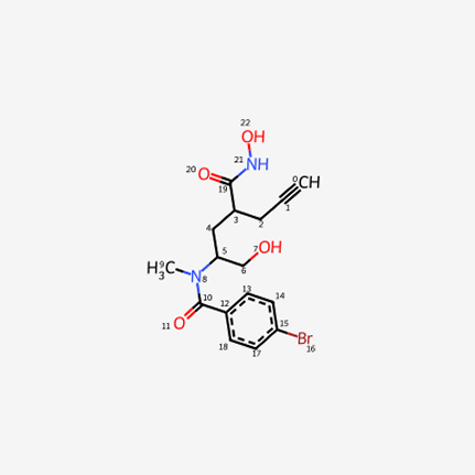 C#CCC(CC(CO)N(C)C(=O)c1ccc(Br)cc1)C(=O)NO